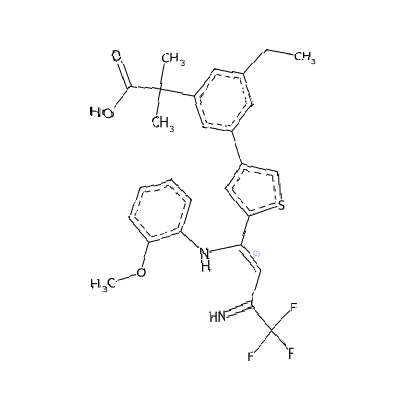 CCc1cc(-c2csc(/C(=C/C(=N)C(F)(F)F)Nc3ccccc3OC)c2)cc(C(C)(C)C(=O)O)c1